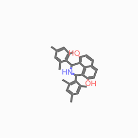 Cc1cc(C)c(C2NC(c3c(C)cc(C)cc3C)c3c(O)ccc4ccc(O)c2c34)c(C)c1